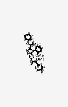 COc1cccc(OC)c1-n1c(NSC(C)C(OC)c2ncc(Cl)cn2)nnc1C1COc2ccccc2O1